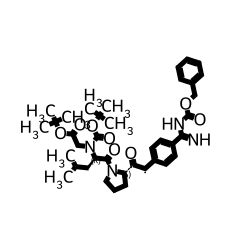 CC(C)C[C@H](C(=O)N1CCC[C@H]1C(=O)[CH]c1ccc(C(=N)NC(=O)OCc2ccccc2)cc1)N(CC(=O)OC(C)(C)C)C(=O)OC(C)(C)C